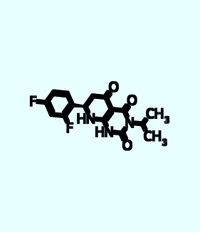 CC(C)n1c(=O)[nH]c2c(c1=O)C(=O)C[C@H](c1ccc(F)cc1F)N2